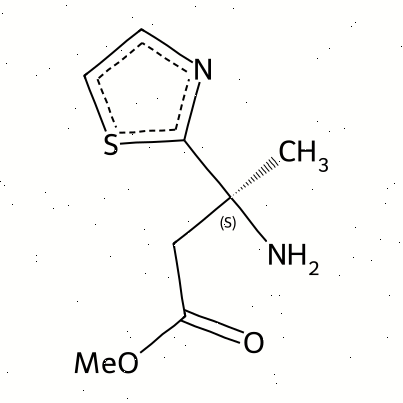 COC(=O)C[C@](C)(N)c1nccs1